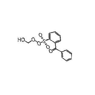 O=C(c1ccccc1)c1ccccc1S(=O)(=O)OOCO